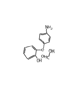 Nc1ccc(Oc2ccccc2O)cc1.O=CO